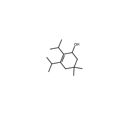 CC(C)C1=C(C(C)C)C(O)CC(C)(C)C1